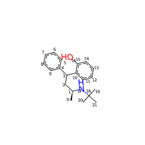 C[C@@H](CC(c1ccccc1)c1ccccc1O)NC(C)(C)C